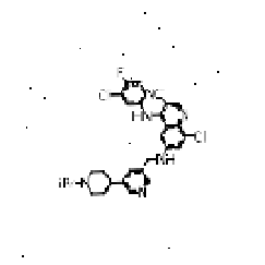 CC(C)N1CCC(c2cncc(CNc3cc(Cl)c4ncc(C#N)c(Nc5ccc(F)c(Cl)c5)c4c3)c2)CC1